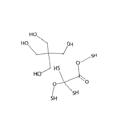 O=C(OS)C(S)(S)OS.OCC(CO)(CO)CO